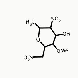 COC1C(C[N+](=O)[O-])OC(C)C([N+](=O)[O-])C1O